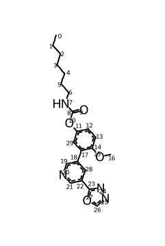 CCCCCCCNC(=O)Oc1ccc(OC)c(-c2cncc(-c3nnco3)c2)c1